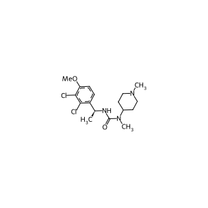 COc1ccc([C@H](C)NC(=O)N(C)C2CCN(C)CC2)c(Cl)c1Cl